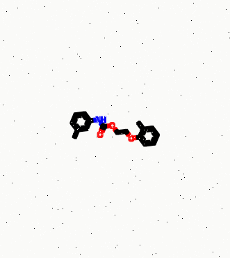 Cc1cccc(NC(=O)OCCOc2ccccc2C)c1